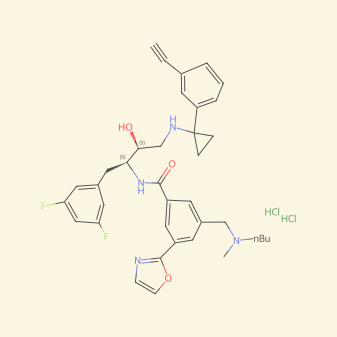 C#Cc1cccc(C2(NC[C@H](O)[C@H](Cc3cc(F)cc(F)c3)NC(=O)c3cc(CN(C)CCCC)cc(-c4ncco4)c3)CC2)c1.Cl.Cl